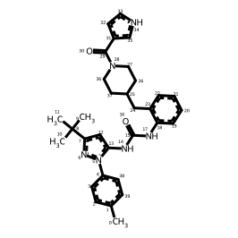 Cc1ccc(-n2nc(C(C)(C)C)cc2NC(=O)Nc2ccccc2CC2CCN(C(=O)c3cc[nH]c3)CC2)cc1